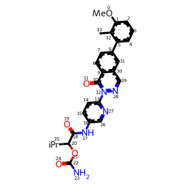 COc1cccc(-c2ccc3c(=O)n(-c4ccc(NC(=O)C(OC(N)=O)C(C)C)cn4)ncc3c2)c1C